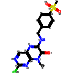 CC(C)n1c(=O)c(NCc2ccc(S(C)(=O)=O)cc2)nc2cnc(Cl)nc21